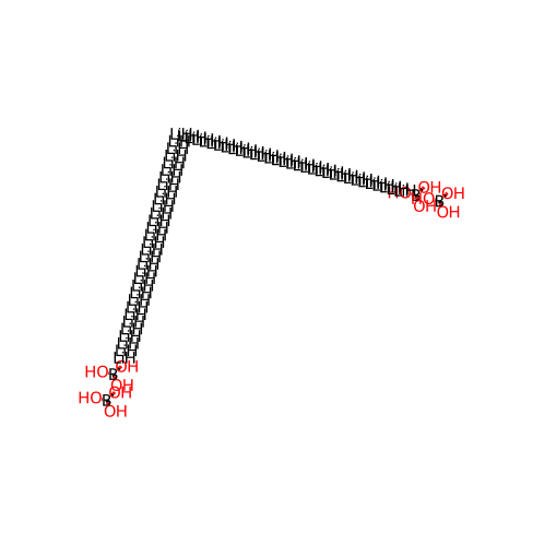 OB(O)O.OB(O)O.OB(O)O.OB(O)O.[LiH].[LiH].[LiH].[LiH].[LiH].[LiH].[LiH].[LiH].[LiH].[LiH].[LiH].[LiH].[LiH].[LiH].[LiH].[LiH].[LiH].[LiH].[LiH].[LiH].[LiH].[LiH].[LiH].[LiH].[LiH].[LiH].[LiH].[LiH].[LiH].[LiH].[LiH].[LiH].[LiH].[LiH].[LiH].[LiH].[LiH].[LiH].[LiH].[LiH].[LiH].[LiH].[LiH].[LiH].[LiH].[LiH].[LiH].[LiH].[LiH].[LiH].[LiH].[LiH].[LiH].[LiH].[LiH].[LiH].[LiH].[LiH].[LiH].[LiH].[LiH].[LiH].[LiH]